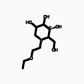 CCOCCN1CC(O)C(O)[C@H](O)C1CO